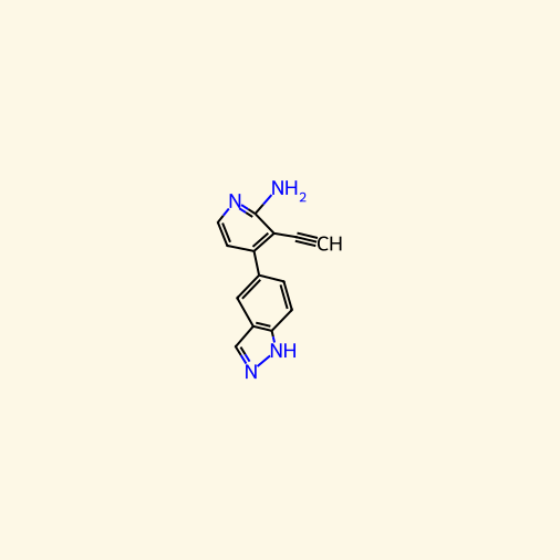 C#Cc1c(-c2ccc3[nH]ncc3c2)ccnc1N